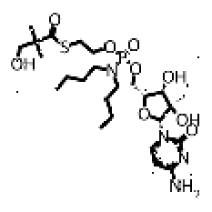 CCCCN(CCCC)P(=O)(OCCSC(=O)C(C)(C)CO)OC[C@H]1O[C@@H](n2ccc(N)nc2=O)[C@](C)(O)[C@@H]1O